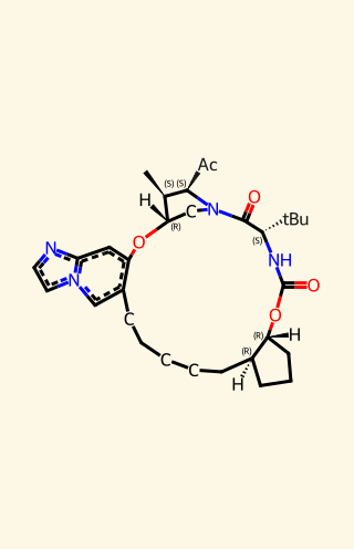 CC(=O)[C@@H]1[C@H](C)[C@@H]2CN1C(=O)[C@H](C(C)(C)C)NC(=O)O[C@@H]1CCC[C@H]1CCCCCc1cn3ccnc3cc1O2